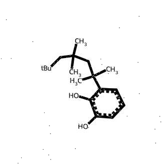 CC(C)(C)CC(C)(C)CC(C)(C)c1cccc(O)c1O